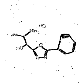 CCCCC(N)C(O)c1nnc(-c2ccccc2)o1.Cl